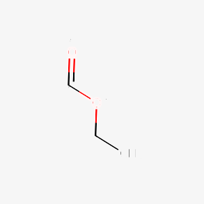 CCO[C]=O